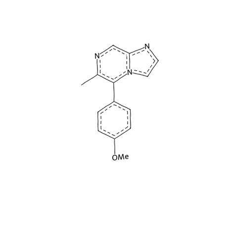 COc1ccc(-c2c(C)ncc3nccn23)cc1